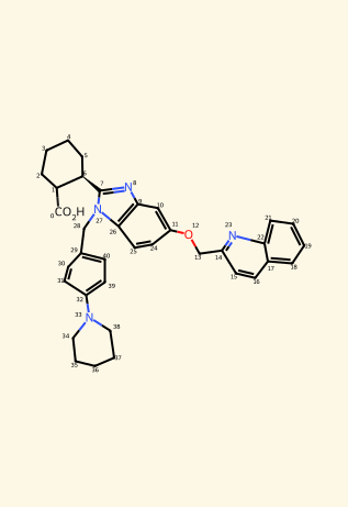 O=C(O)C1CCCC[C@H]1c1nc2cc(OCc3ccc4ccccc4n3)ccc2n1Cc1ccc(N2CCCCC2)cc1